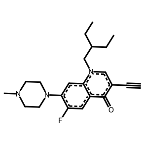 C#Cc1cn(CC(CC)CC)c2cc(N3CCN(C)CC3)c(F)cc2c1=O